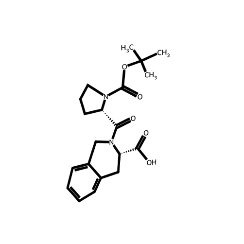 CC(C)(C)OC(=O)N1CCC[C@H]1C(=O)N1Cc2ccccc2C[C@H]1C(=O)O